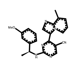 COc1cccc([C@H](C)Nc2ncc(C#N)c(-c3cnc4c(C)cccn34)n2)c1